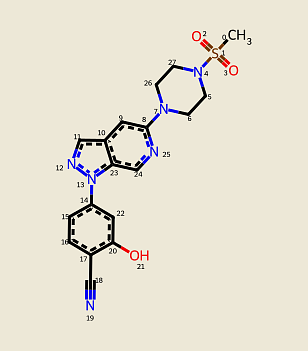 CS(=O)(=O)N1CCN(c2cc3cnn(-c4ccc(C#N)c(O)c4)c3cn2)CC1